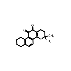 CC1(C)CCC2=C(O1)c1ccc3c(c1C(=O)C2=O)CCCC3